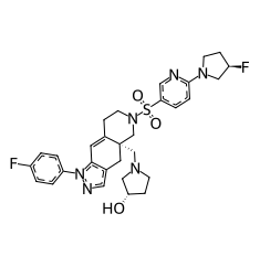 O=S(=O)(c1ccc(N2CC[C@@H](F)C2)nc1)N1CCC2=Cc3c(cnn3-c3ccc(F)cc3)C[C@]2(CN2CC[C@H](O)C2)C1